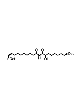 CCCCCCCC/C=C\CCCCCCCC(=O)NC(=O)C(O)CCCCCCCCCCCCCCCC